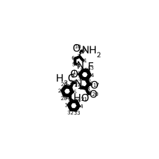 COc1c(N2CC[C@@H](C(N)=O)C2)c(F)cc2c(=O)c(C(=O)O)cn(Cc3cccc(-c4ccccc4)c3)c12